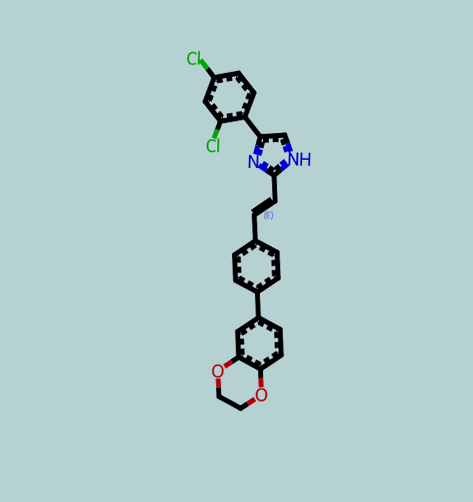 Clc1ccc(-c2c[nH]c(/C=C/c3ccc(-c4ccc5c(c4)OCCO5)cc3)n2)c(Cl)c1